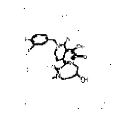 CN1CCC(O)Cn2c(c3c(c(O)c2=O)C(=O)N(Cc2ccc(F)c(Cl)c2)CC3)C1=O